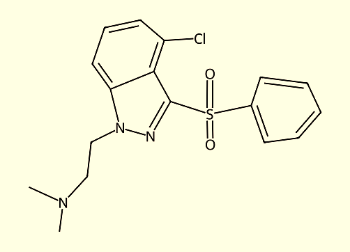 CN(C)CCn1nc(S(=O)(=O)c2ccccc2)c2c(Cl)cccc21